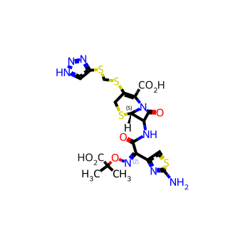 CC(C)(O/N=C(\C(=O)NC1C(=O)N2C(C(=O)O)=C(SCSc3c[nH]nn3)CS[C@@H]12)c1csc(N)n1)C(=O)O